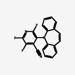 N#Cc1c(F)c(F)nc(F)c1N1c2ccccc2C=Cc2ccccc21